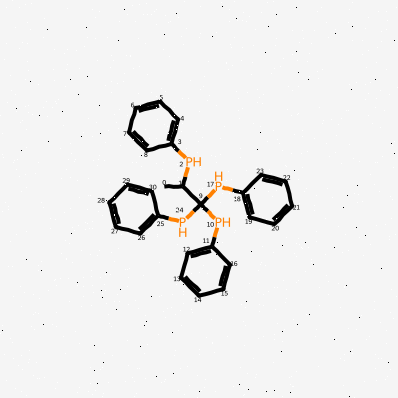 CC(Pc1ccccc1)C(Pc1ccccc1)(Pc1ccccc1)Pc1ccccc1